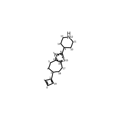 C1=CC(C2CCc3nc(C4CCNCC4)sc3CC2)=C1